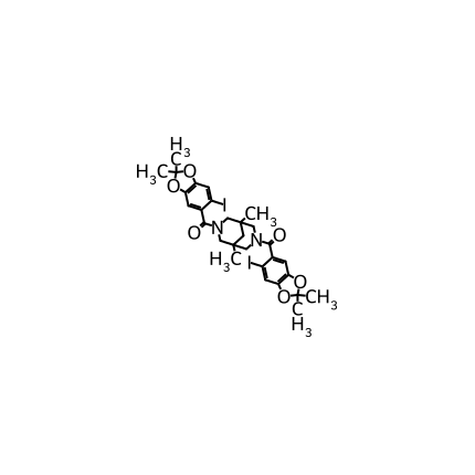 CC12CN(C(=O)c3cc4c(cc3I)OC(C)(C)O4)CC(C)(CN(C(=O)c3cc4c(cc3I)OC(C)(C)O4)C1)C2